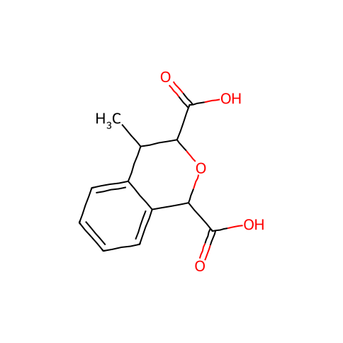 CC1c2ccccc2C(C(=O)O)OC1C(=O)O